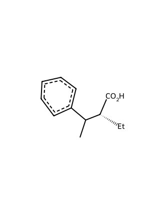 CC[C@@H](C(=O)O)C(C)c1ccccc1